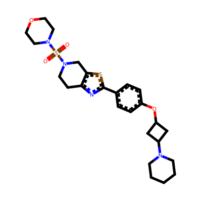 O=S(=O)(N1CCOCC1)N1CCc2nc(-c3ccc(OC4CC(N5CCCCC5)C4)cc3)sc2C1